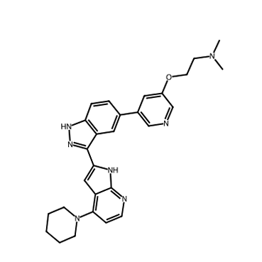 CN(C)CCOc1cncc(-c2ccc3[nH]nc(-c4cc5c(N6CCCCC6)ccnc5[nH]4)c3c2)c1